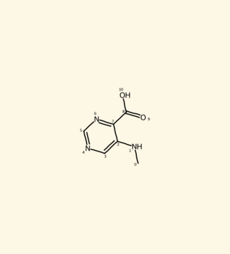 CNc1cncnc1C(=O)O